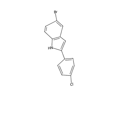 Clc1ccc(-c2cc3cc(Br)ccc3[nH]2)cc1